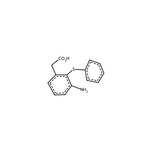 Nc1cccc(CC(=O)O)c1Sc1ccccc1